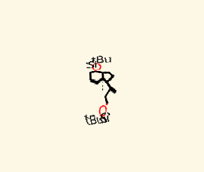 C=C(CCO[Si](C)(C)C(C)(C)C)C1CCC2C(O[Si](C)(C)C(C)(C)C)CCC[C@]12C